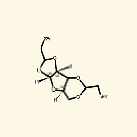 CC(C)CC1OC[C@H]2O[C@@H]3OC(CC(C)C)O[C@@H]3C2O1